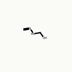 C=NNCO